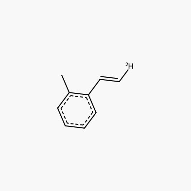 [2H]C=Cc1ccccc1C